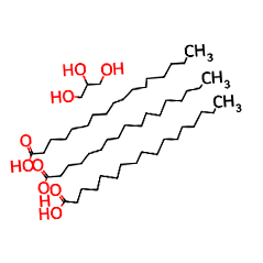 CCCCCCCCCCCCCCCCC(=O)O.CCCCCCCCCCCCCCCCC(=O)O.CCCCCCCCCCCCCCCCC(=O)O.OCC(O)CO